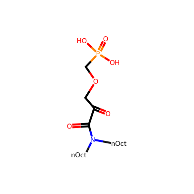 CCCCCCCCN(CCCCCCCC)C(=O)C(=O)COCP(=O)(O)O